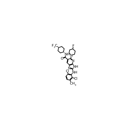 Cc1ccc(Cl)c(Nc2nc3cc(C(=O)N[C@H]4CC[C@H](C(F)(F)F)CC4)c(N4CCC(F)CC4)nc3[nH]2)c1Cl